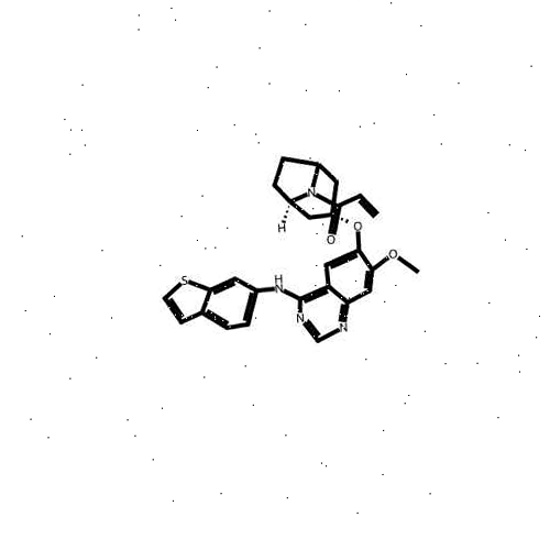 C=CC(=O)N1C2CC[C@@H]1C[C@@H](Oc1cc3c(Nc4ccc5ccsc5c4)ncnc3cc1OC)C2